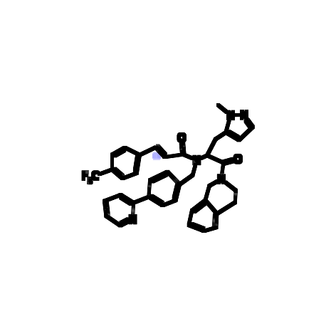 Cn1nccc1CC(C(=O)N1CCc2ccccc2C1)N(Cc1ccc(-c2ccccn2)cc1)C(=O)/C=C/c1ccc(C(F)(F)F)cc1